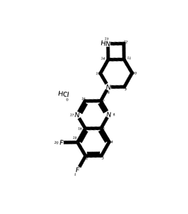 Cl.Fc1ccc2nc(N3CCC4CNC4C3)cnc2c1F